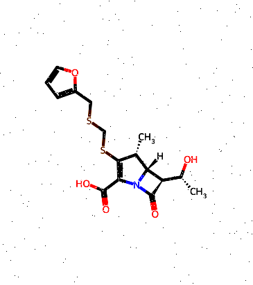 C[C@@H](O)[C@H]1C(=O)N2C(C(=O)O)=C(SCSCc3ccco3)[C@H](C)[C@H]12